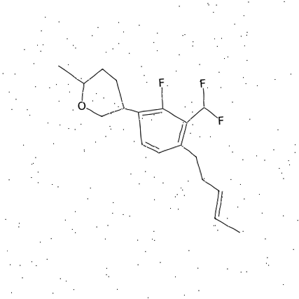 C/C=C/CCc1ccc(C2CCC(C)OC2)c(F)c1C(F)F